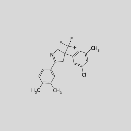 Cc1cc(Cl)cc(C2(C(F)(F)F)CN=C(c3ccc(C)c(C)c3)C2)c1